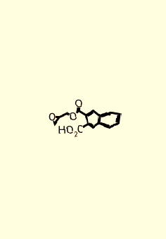 O=C(O)c1cc2ccccc2cc1C(=O)OCC1CO1